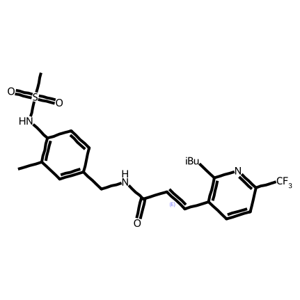 CCC(C)c1nc(C(F)(F)F)ccc1/C=C/C(=O)NCc1ccc(NS(C)(=O)=O)c(C)c1